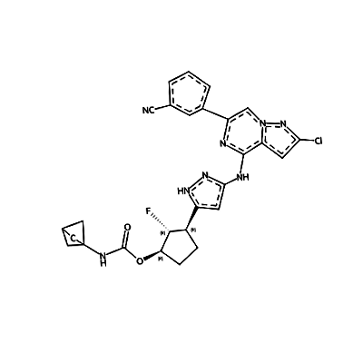 N#Cc1cccc(-c2cn3nc(Cl)cc3c(Nc3cc([C@H]4CC[C@@H](OC(=O)NC56CC(C5)C6)[C@@H]4F)[nH]n3)n2)c1